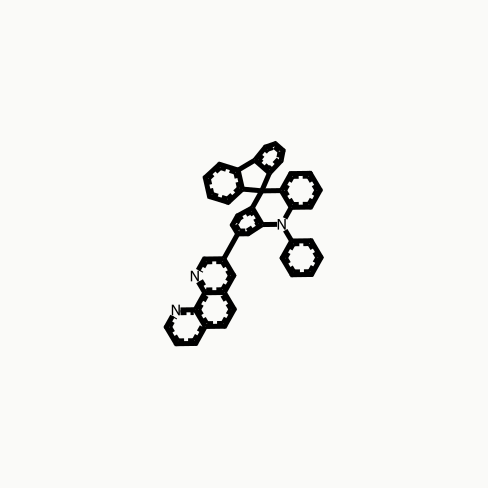 c1ccc(N2c3ccccc3C3(c4ccccc4-c4ccccc43)c3ccc(-c4cnc5c(ccc6cccnc65)c4)cc32)cc1